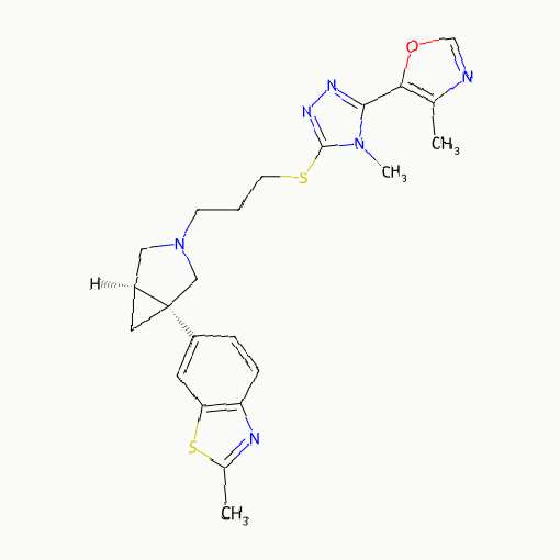 Cc1nc2ccc([C@]34C[C@H]3CN(CCCSc3nnc(-c5ocnc5C)n3C)C4)cc2s1